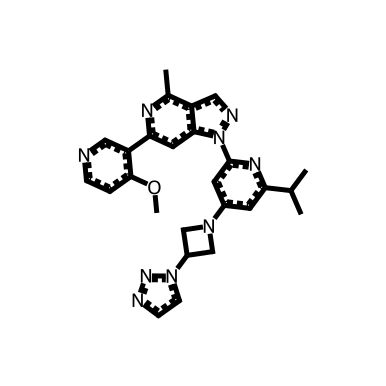 COc1ccncc1-c1cc2c(cnn2-c2cc(N3CC(n4ccnn4)C3)cc(C(C)C)n2)c(C)n1